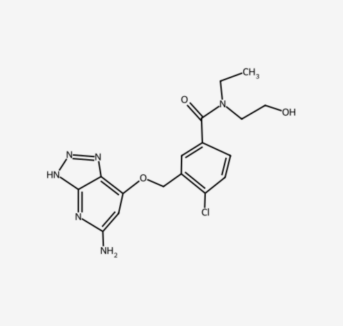 CCN(CCO)C(=O)c1ccc(Cl)c(COc2cc(N)nc3[nH]nnc23)c1